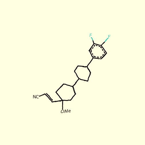 COC1(C=CC#N)CCC(C2CCC(c3ccc(F)c(F)c3)CC2)CC1